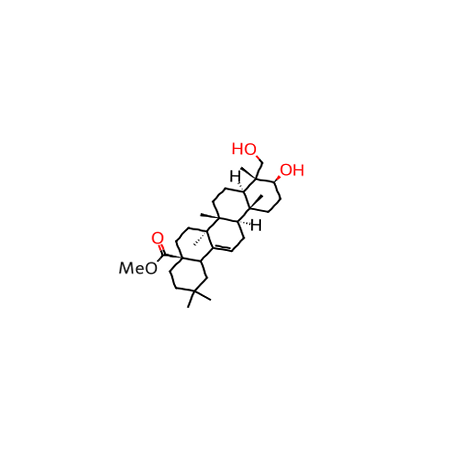 COC(=O)[C@]12CCC(C)(C)CC1C1=CC[C@@H]3[C@@]4(C)CC[C@H](O)[C@@](C)(CO)[C@@H]4CC[C@@]3(C)[C@]1(C)CC2